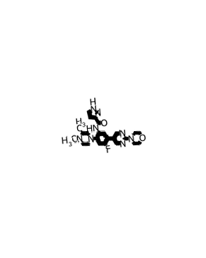 C[C@@H]1CN(c2cc(F)c(-c3cnc(N4CCOCC4)nc3)cc2NC(=O)c2cc[nH]n2)CCN1C